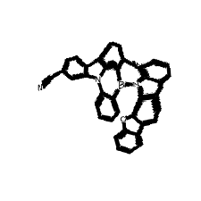 N#Cc1ccc2c3ccc(C#N)c4c3n(c2c1)-c1ccccc1B4n1c2ccccc2c2ccc3c4ccccc4oc3c21